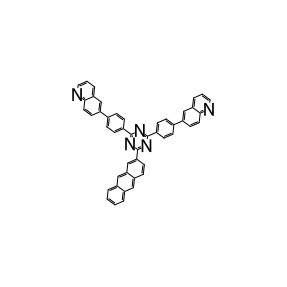 c1ccc2cc3cc(-c4nc(-c5ccc(-c6ccc7ncccc7c6)cc5)nc(-c5ccc(-c6ccc7ncccc7c6)cc5)n4)ccc3cc2c1